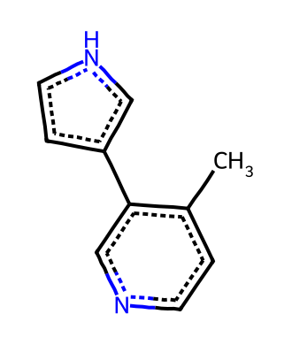 Cc1ccncc1-c1cc[nH]c1